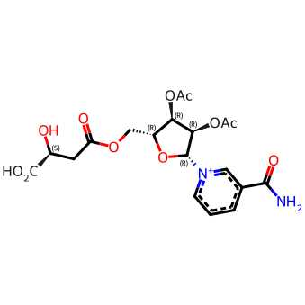 CC(=O)O[C@@H]1[C@H](OC(C)=O)[C@@H](COC(=O)C[C@H](O)C(=O)O)O[C@H]1[n+]1cccc(C(N)=O)c1